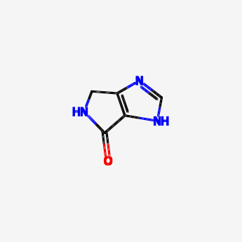 O=C1NCc2nc[nH]c21